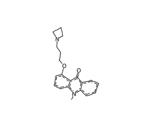 Cn1c2ccccc2c(=O)c2c(OCCCN3CCC3)cccc21